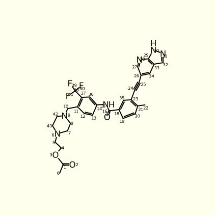 CC(=O)OCCN1CCN(Cc2ccc(NC(=O)c3ccc(C)c(C#Cc4cnc5[nH]ncc5c4)c3)cc2C(F)(F)F)CC1